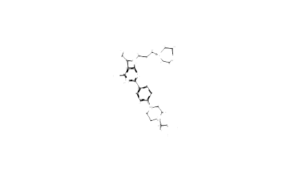 CCC1c2c(C)nc(-c3ccc(N4CCN(C(C)C)CC4)cc3)nc2N1CCCN1CCOCC1